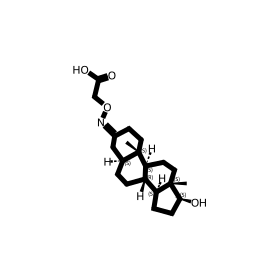 C[C@]12CCC(=NOCC(=O)O)C[C@@H]1CC[C@@H]1[C@@H]2CC[C@]2(C)[C@@H](O)CC[C@@H]12